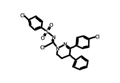 O=S(=O)(N=C(Cl)N1CCC(c2ccccc2)C(c2ccc(Cl)cc2)=N1)c1ccc(Cl)cc1